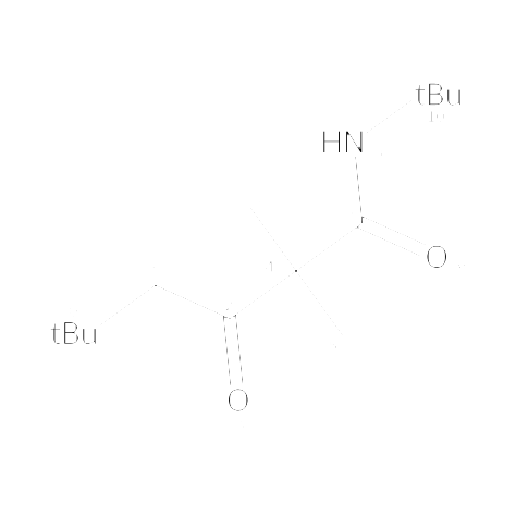 CC(C)(C)CC(=O)C(C)(C)C(=O)NC(C)(C)C